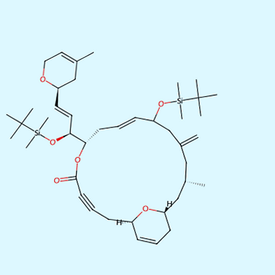 C=C1CC(O[Si](C)(C)C(C)(C)C)/C=C/C[C@@H]([C@H](/C=C/[C@@H]2CC(C)=CCO2)O[Si](C)(C)C(C)(C)C)OC(=O)C#CC[C@@H]2C=CC[C@@H](C[C@@H](C)C1)O2